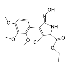 CCOC(=O)C1NC(=NO)C(c2ccc(OC)c(OC)c2OC)=C1Cl